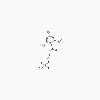 CCC(F)(F)CCCCC(=O)c1c(OC)cc(Br)cc1OC